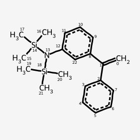 C=C(c1ccccc1)c1cccc(N([Si](C)(C)C)[Si](C)(C)C)c1